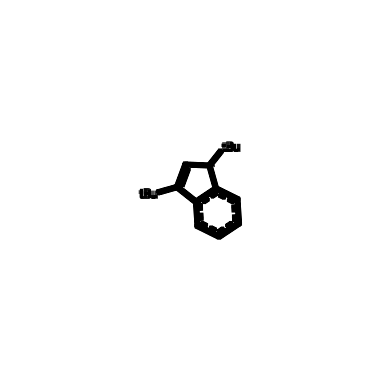 CC(C)(C)[C]1C=C(C(C)(C)C)c2ccccc21